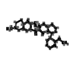 COc1ncccc1-c1cccc2cnc(Nc3cc4c(nc3C)CCN(C)C4)nc12